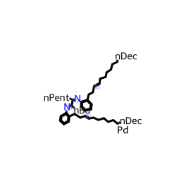 CCCCCCCCCCCCCCCC/C=C/CCc1ccccc1/N=C(CCCCC)\C(CCCC)=N\c1ccccc1CC/C=C/CCCCCCCCCCCCCCCC.[Pd]